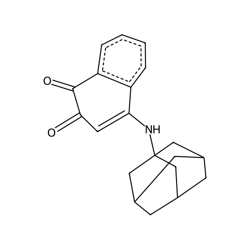 O=C1C=C(NC23CC4CC(CC(C4)C2)C3)c2ccccc2C1=O